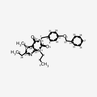 CCCn1c(=O)n(Cc2ccc(OCc3ccccc3)cc2)c(=O)c2c1nc(CC)n2C